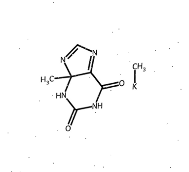 CC12N=CN=C1C(=O)NC(=O)N2.[CH3][K]